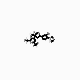 FC(F)(F)c1cc(C2(C(F)(F)F)C=NC(c3ccc(-n4cncn4)c(Br)c3)C2)cc(C(F)(F)F)n1